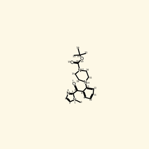 Cn1ccnc1C(=O)c1ccccc1N1CCN(C(=O)OC(C)(C)C)CC1